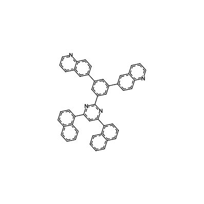 c1cnc2ccc(-c3cc(-c4ccc5ncccc5c4)cc(-c4nc(-c5cccc6ccccc56)cc(-c5cccc6ccccc56)n4)c3)cc2c1